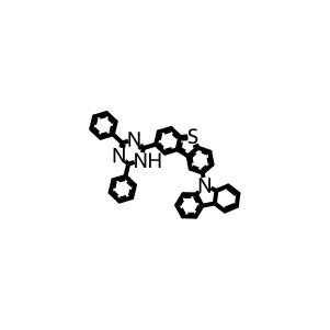 C1=CC2c3ccccc3N(c3ccc4sc5ccc(C6=NC(c7ccccc7)=NC(c7ccccc7)N6)cc5c4c3)C2C=C1